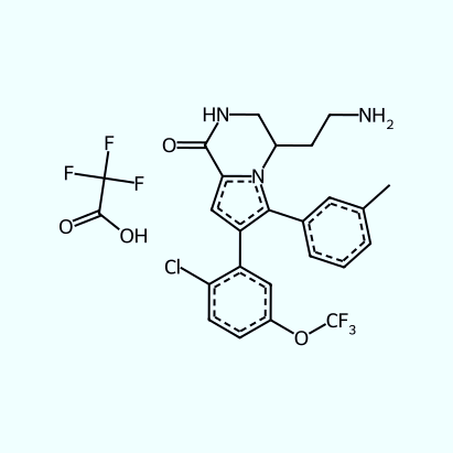 Cc1cccc(-c2c(-c3cc(OC(F)(F)F)ccc3Cl)cc3n2C(CCN)CNC3=O)c1.O=C(O)C(F)(F)F